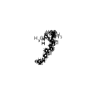 CNc1cncc(COc2nc(O[C@H]3CCc4c(-c5cccc(-c6ccc(CNC[C@@H]7CCC(=O)N7)cc6)c5Cl)cccc43)c(Cl)cc2CNC(C)(CO)C(=O)O)c1